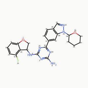 Nc1nc(NC2COc3cccc(F)c32)nc(-c2ccc3cnn(C4CCCCO4)c3c2)n1